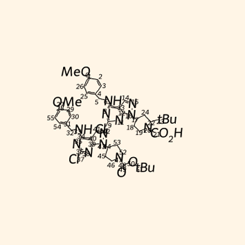 COc1ccc(CNc2nc(Cl)nc3c2cnn3C2CCN(C(=O)O)C(C(C)(C)C)C2)cc1.COc1ccc(CNc2nc(Cl)nc3c2cnn3C2CCN(C(=O)OC(C)(C)C)CC2)cc1